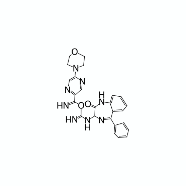 N=C(NC1N=C(c2ccccc2)c2ccccc2NC1=O)OC(=N)c1cnc(N2CCOCC2)cn1